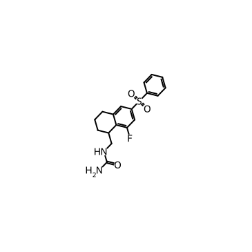 NC(=O)NCC1CCCc2cc(S(=O)(=O)c3ccccc3)cc(F)c21